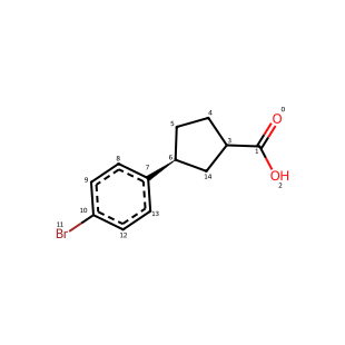 O=C(O)C1CC[C@H](c2ccc(Br)cc2)C1